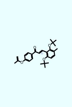 C=C(C)Oc1ccc(C(=O)/C=C/c2c(OC(C)(C)C)ccc(C)c2OC(C)(C)C)cc1